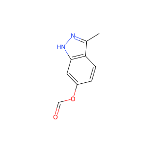 Cc1n[nH]c2cc(OC=O)ccc12